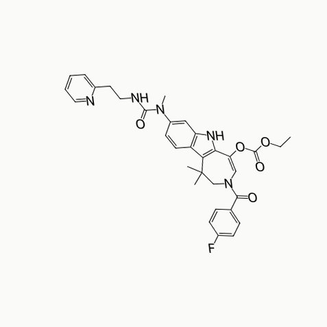 CCOC(=O)OC1=CN(C(=O)c2ccc(F)cc2)CC(C)(C)c2c1[nH]c1cc(N(C)C(=O)NCCc3ccccn3)ccc21